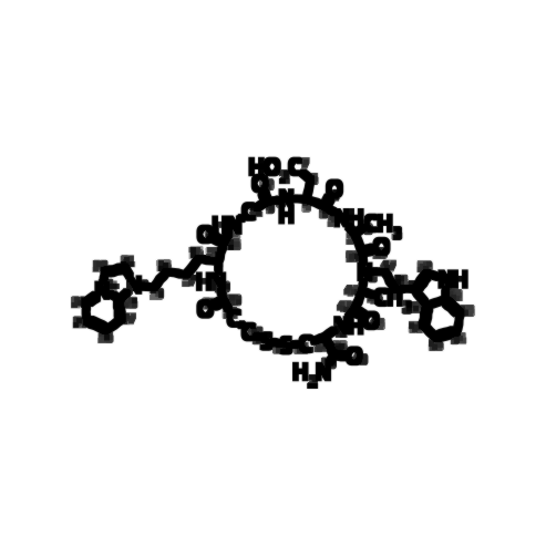 CC1NC(=O)C(CC(=O)O)NC(=O)CNC(=O)C(CCCCn2cc[n+]3ccccc23)NC(=O)CCSSCC(C(N)=O)NC(=O)C(C)N(CCc2c[nH]c3ccccc23)C1=O